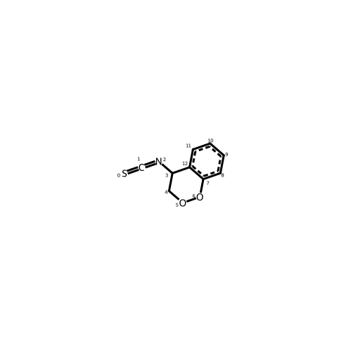 S=C=NC1COOc2ccccc21